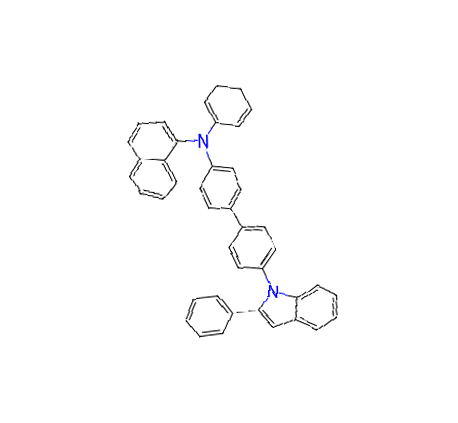 C1=CC(N(c2ccc(-c3ccc(-n4c(-c5ccccc5)cc5ccccc54)cc3)cc2)c2cccc3ccccc23)=CCC1